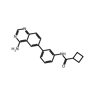 Nc1ncnc2ccc(-c3cccc(NC(=O)C4CCC4)c3)cc12